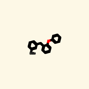 COc1cccc(Cc2ccccc2Oc2ccccc2)c1